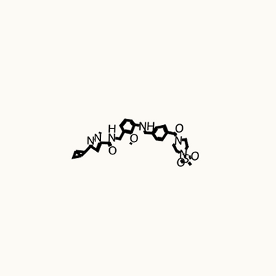 COc1c(CNC(=O)c2cc(C3C4CC43)nn2C)cccc1NCc1ccc(C(=O)N2CCN(S(C)(=O)=O)CC2)cc1